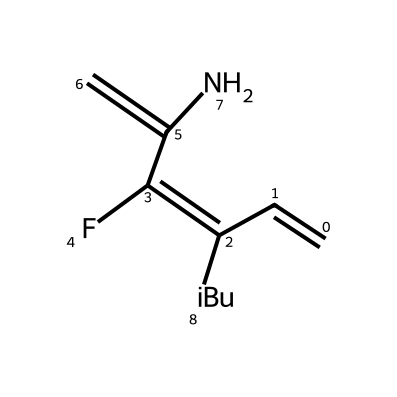 C=C/C(=C(/F)C(=C)N)C(C)CC